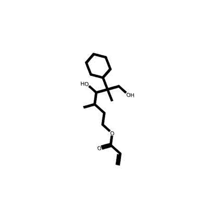 C=CC(=O)OCCC(C)C(O)C(C)(CO)C1CCCCC1